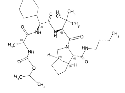 CCCCNC(=O)[C@@H]1[C@H]2CCC[C@H]2CN1C(=O)[C@@H](NC(=O)[C@@H](NC(=O)[C@@H](C)NC(=O)OC(C)C)C1CCCCC1)C(C)(C)C